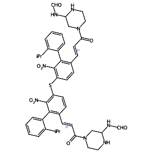 CC(C)c1ccccc1-c1c(/C=C/C(=O)N2CCNC(NC=O)C2)ccc(Sc2ccc(/C=C/C(=O)N3CCNC(NC=O)C3)c(-c3ccccc3C(C)C)c2[N+](=O)[O-])c1[N+](=O)[O-]